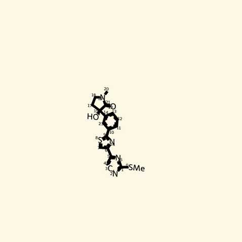 CSc1nccc(-c2csc(-c3cccc(C4(O)CCN(C)C4=O)c3)n2)n1